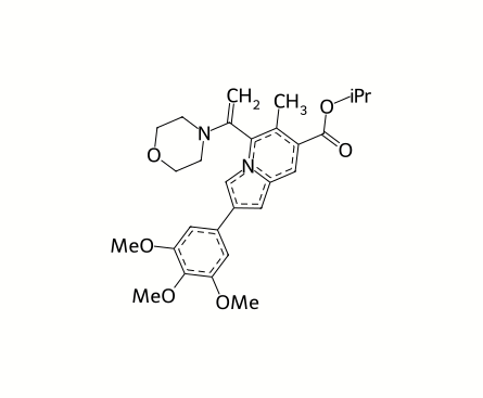 C=C(c1c(C)c(C(=O)OC(C)C)cc2cc(-c3cc(OC)c(OC)c(OC)c3)cn12)N1CCOCC1